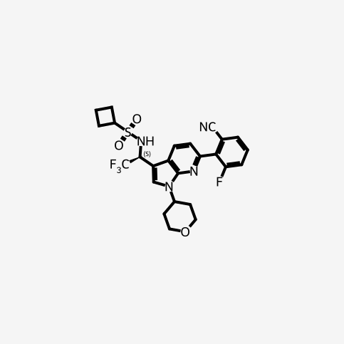 N#Cc1cccc(F)c1-c1ccc2c([C@H](NS(=O)(=O)C3CCC3)C(F)(F)F)cn(C3CCOCC3)c2n1